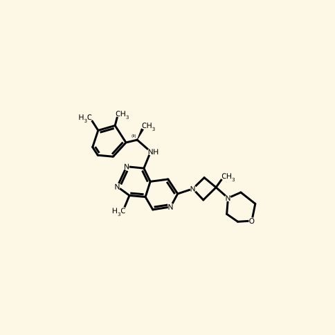 Cc1cccc([C@@H](C)Nc2nnc(C)c3cnc(N4CC(C)(N5CCOCC5)C4)cc23)c1C